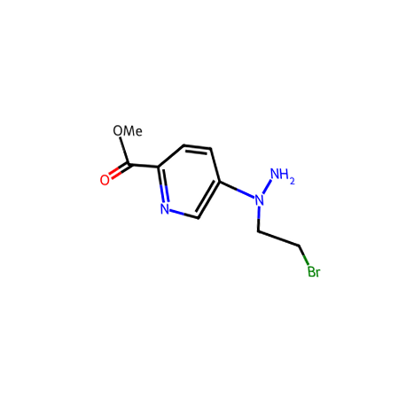 COC(=O)c1ccc(N(N)CCBr)cn1